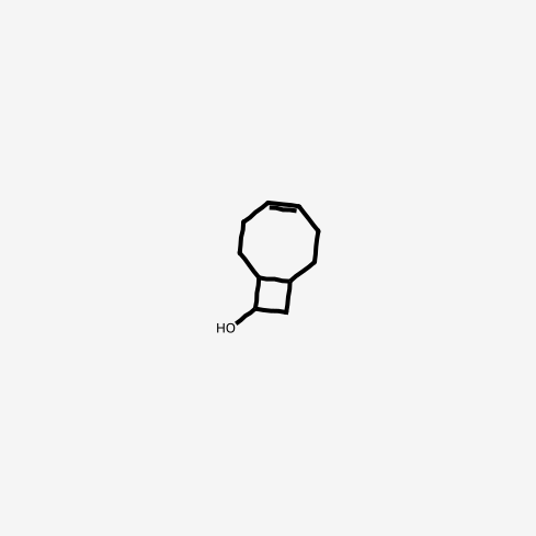 OC1CC2CCC=CCCC12